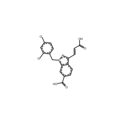 O=C(O)C=Cc1nn(Cc2ccc(Cl)cc2Cl)c2cc(C(=O)O)ccc12